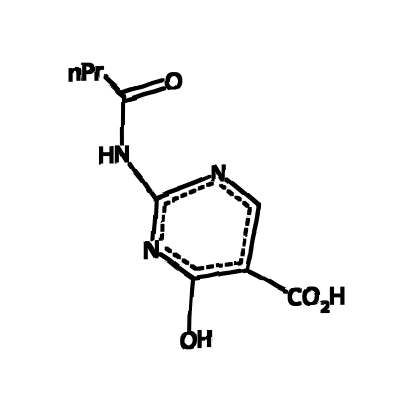 CCCC(=O)Nc1ncc(C(=O)O)c(O)n1